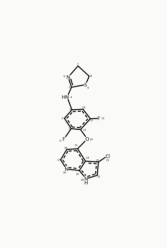 Fc1cc(NC2=NCCS2)cc(F)c1Oc1ccnc2[nH]cc(Cl)c12